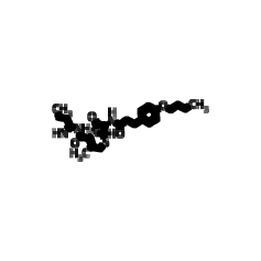 CCCCOc1ccc(CCC(=O)N[C@@H]2C(=O)N3C(C(=O)NC(=N)CCC)=C(C)CS[C@H]23)cc1